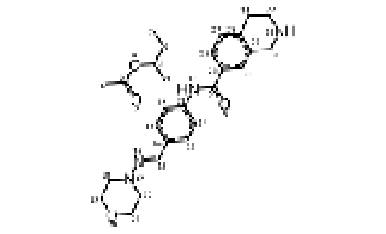 CCC(C)OC(C)=O.O=C(Nc1ccc(C=NN2CCOCC2)cc1)c1ccc2c(c1)CNCC2